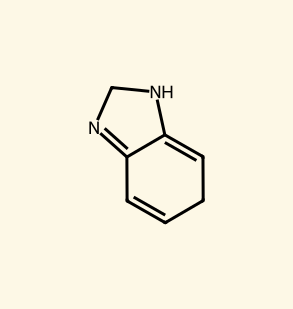 C1=CC2=NCNC2=CC1